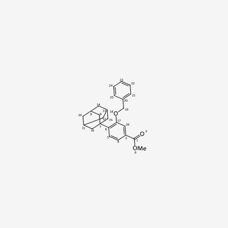 COC(=O)c1ccc(C23CC4CC(CC(C4)C2)C3)c(OCc2ccccc2)c1